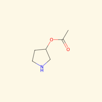 CC(=O)OC1CCNC1